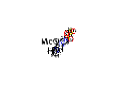 COC(CN1CCN(S(=O)(=O)CS(C)(=O)=O)CC1)CN1[C@@H]2C[CH]C[C@H]1CC2